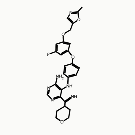 Cc1ncc(COc2cc(F)cc(Oc3ccc(Nc4c(N)ncnc4C(=N)C4CCOCC4)cc3)c2)o1